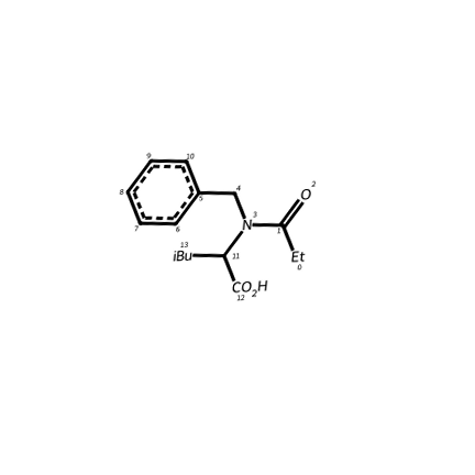 CCC(=O)N(Cc1ccccc1)C(C(=O)O)C(C)CC